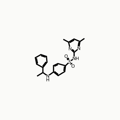 Cc1cc(C)nc(NS(=O)(=O)c2ccc(NC(C)c3ccccc3)cc2)n1